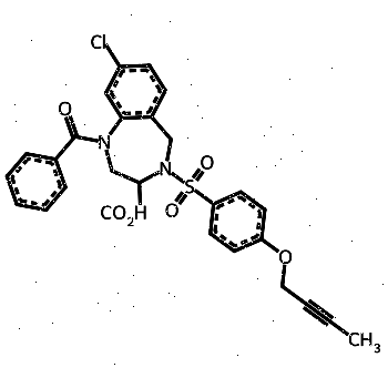 CC#CCOc1ccc(S(=O)(=O)N2Cc3ccc(Cl)cc3N(C(=O)c3ccccc3)CC2C(=O)O)cc1